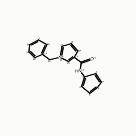 O=C(Nc1ccccc1)c1ccc[n+](Cc2ccccc2)c1